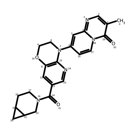 Cc1cnc2cc(N3CCOc4cc(C(=O)N5CCC6CC6C5)cnc43)ccn2c1=O